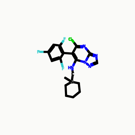 C[Si]1(CNc2c(-c3c(F)cc(F)cc3F)c(Cl)nc3ncnn23)CCCCC1